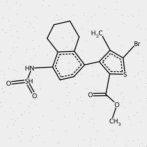 COC(=O)c1sc(Br)c(C)c1-c1ccc(N[SH](=O)=O)c2c1CCCC2